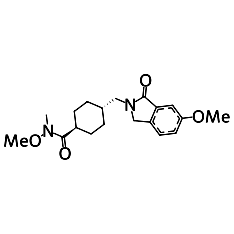 COc1ccc2c(c1)C(=O)N(C[C@H]1CC[C@H](C(=O)N(C)OC)CC1)C2